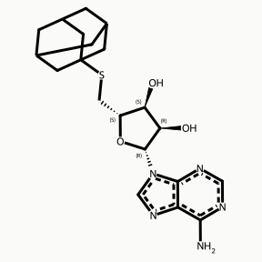 Nc1ncnc2c1ncn2[C@@H]1O[C@H](CSC23CC4CC(CC(C4)C2)C3)[C@@H](O)[C@H]1O